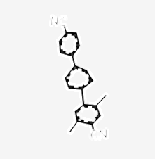 Cc1cc(-c2ccc(-c3ccc(C#N)cc3)cc2)c(C)cc1C#N